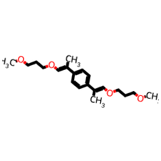 COCCCOC=C(C)c1ccc(C(C)=COCCCOC)cc1